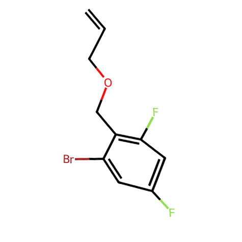 C=CCOCc1c(F)cc(F)cc1Br